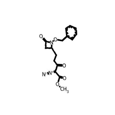 COC(=O)C(=[N+]=[N-])C(=O)CCC1CC(=O)N1OCc1ccccc1